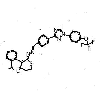 CC(C)c1ccccc1C1C(=O)CCS/C1=N\N=C\c1ccc(-c2ncn(-c3ccc(OC(F)(F)F)cc3)n2)cc1